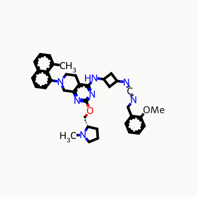 COc1ccccc1CN=C=NC1CC(Nc2nc(OC[C@@H]3CCCN3C)nc3c2CCN(c2cccc4cccc(C)c24)C3)C1